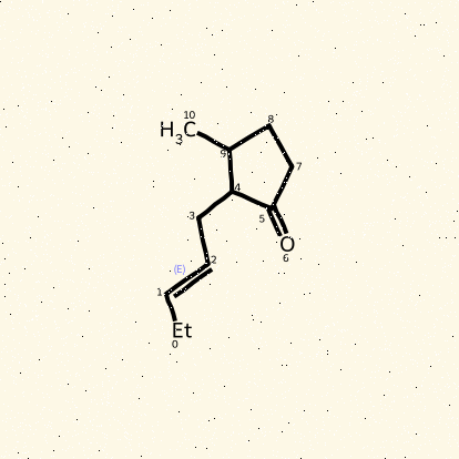 CC/C=C/CC1C(=O)CCC1C